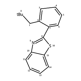 CC(C)(C)Cc1ccccc1-c1nc2ccccc2s1